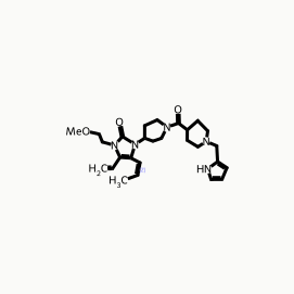 C=Cc1c(/C=C\C)n(C2CCN(C(=O)C3CCN(Cc4ccc[nH]4)CC3)CC2)c(=O)n1CCOC